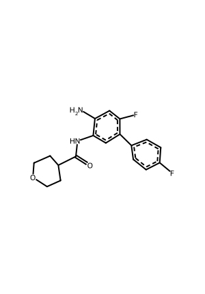 Nc1cc(F)c(-c2ccc(F)cc2)cc1NC(=O)C1CCOCC1